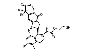 CC[C@@]1(O)C(=O)OCc2c1cc1n(c2=O)Cc2c-1nc1cc(F)c(C)c3c1c2[C@@H](NC(=O)OCCS)CC3